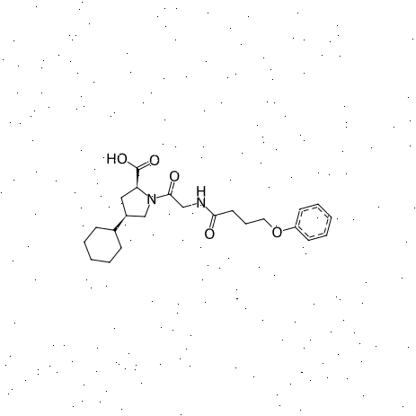 O=C(CCCOc1ccccc1)NCC(=O)N1C[C@@H](C2CCCCC2)C[C@H]1C(=O)O